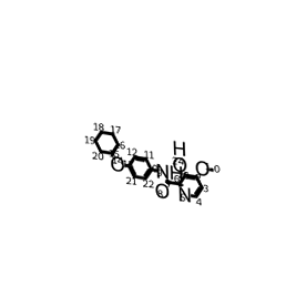 COc1ccnc(C(=O)Nc2ccc(OC3CCCCC3)cc2)c1O